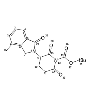 Cc1cccc2c1CN(C1CCC(=O)N(C(=O)OC(C)(C)C)C1=O)C2=O